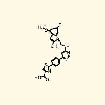 COc1cc(F)cc2c1cc(C)n2CCNc1cc(-c2ccc(-c3nc(C(=O)O)cs3)cc2)ncn1